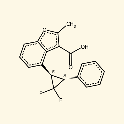 Cc1oc2cccc([C@H]3[C@H](c4ccccc4)C3(F)F)c2c1C(=O)O